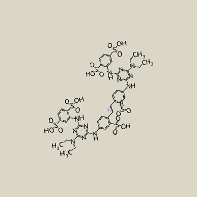 CCN(CC)c1nc(Nc2ccc(/C=C/c3ccc(Nc4nc(Nc5cc(S(=O)(=O)O)ccc5S(=O)(=O)O)nc(N(CC)CC)n4)cc3S(=O)(=O)O)c([SH](=O)=O)c2)nc(Nc2cc(S(=O)(=O)O)ccc2S(=O)(=O)O)n1